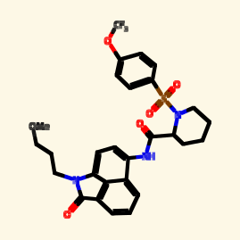 COCCCN1C(=O)c2cccc3c(NC(=O)C4CCCCN4S(=O)(=O)c4ccc(OC(F)(F)F)cc4)ccc1c23